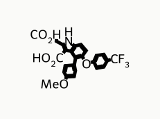 COc1ccc(-c2c(Oc3ccc(C(F)(F)F)cc3)ccc3[nH]c(CC(=O)O)c(C(=O)O)c23)cc1